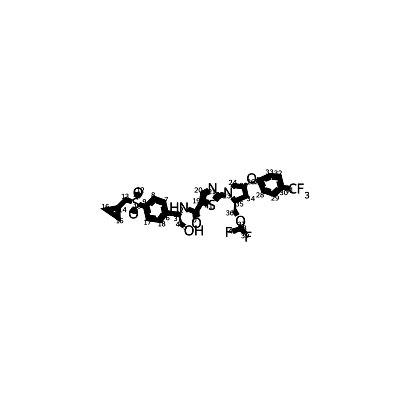 O=C(N[C@@H](CO)c1ccc(S(=O)(=O)CC2CC2)cc1)c1cnc(N2C[C@@H](Oc3ccc(C(F)(F)F)cc3)C[C@H]2COC(F)F)s1